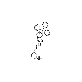 c1ccc(C(c2ccccc2)(c2ccccc2)N2CCc3cc(OCCCC4CCCNC4)sc3C2)cc1